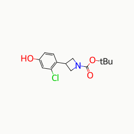 CC(C)(C)OC(=O)N1CC(c2ccc(O)cc2Cl)C1